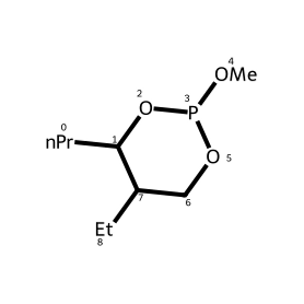 CCCC1OP(OC)OCC1CC